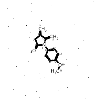 C=C1CC(=O)N(c2ccc(OC)cc2)C1=C